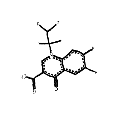 CC(C)(C(F)F)n1cc(C(=O)O)c(=O)c2cc(F)c(F)cc21